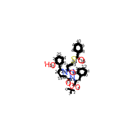 CC(C)(C)OC(=O)[C@H](Cc1ccccc1)NC(=O)[C@@H]1CCC(c2ccccc2O)N1C(=O)CCSC(=O)c1ccccc1